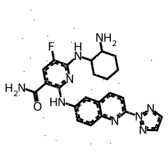 NC(=O)c1cc(F)c(NC2CCCCC2N)nc1Nc1ccc2nc(-n3nccn3)ccc2c1